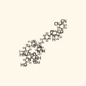 Cc1ncsc1-c1ccc([C@H](C)NC(=O)[C@@H]2C[C@@H](O)CN2C(=O)[C@@H](NC(=O)CN2C[C@@H]3C[C@H]2CN3CCCc2ccc(C(=O)NC3C(C)(C)C(Oc4ccc(C#N)c(Cl)c4)C3(C)C)cc2)C(C)(C)C)cc1